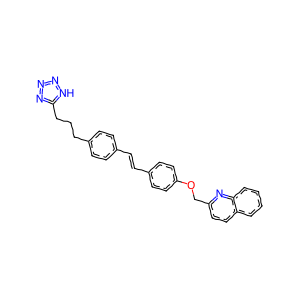 C(=Cc1ccc(OCc2ccc3ccccc3n2)cc1)c1ccc(CCCc2nnn[nH]2)cc1